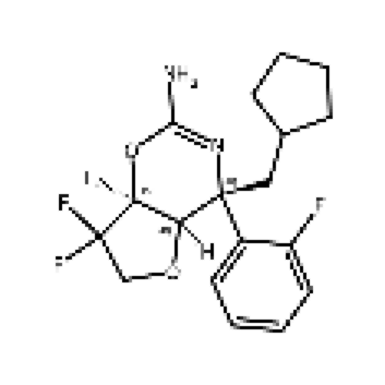 NC1=N[C@](CC2CCCC2)(c2ccccc2F)[C@H]2OCC(F)(F)[C@H]2O1